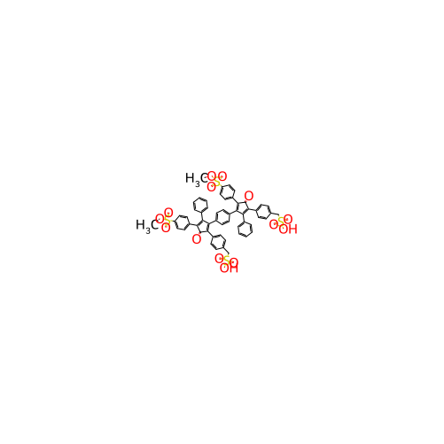 COS(=O)(=O)c1ccc(C2=C(c3ccccc3)C(c3ccc(C4=C(c5ccc(S(=O)(=O)OC)cc5)C(=O)C(c5ccc(CS(=O)(=O)O)cc5)=C4c4ccccc4)cc3)=C(c3ccc(CS(=O)(=O)O)cc3)C2=O)cc1